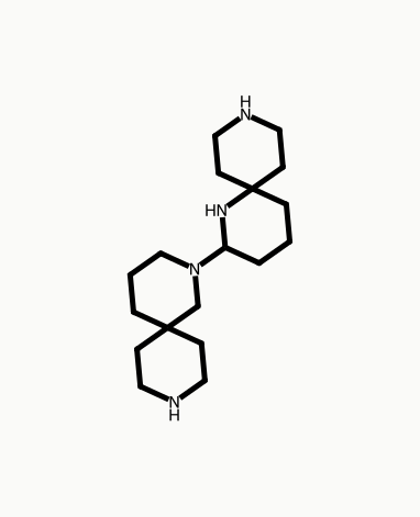 C1CN(C2CCCC3(CCNCC3)N2)CC2(C1)CCNCC2